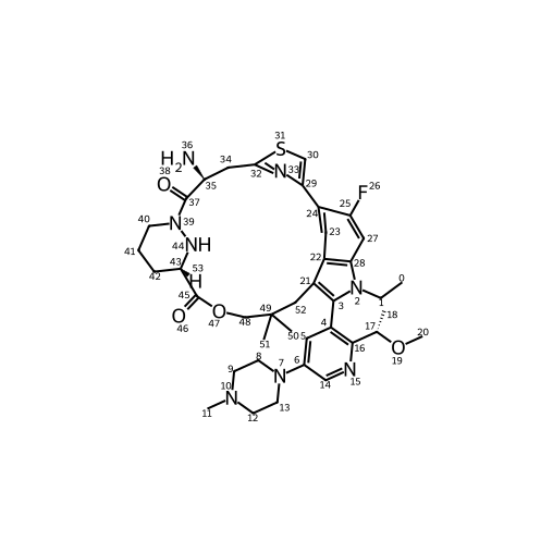 CCn1c(-c2cc(N3CCN(C)CC3)cnc2[C@H](C)OC)c2c3cc(c(F)cc31)-c1csc(n1)C[C@H](N)C(=O)N1CCC[C@H](N1)C(=O)OCC(C)(C)C2